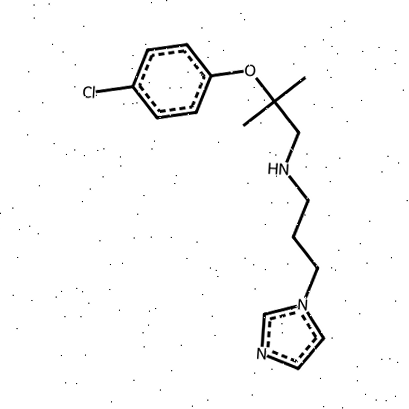 CC(C)(CNCCCn1ccnc1)Oc1ccc(Cl)cc1